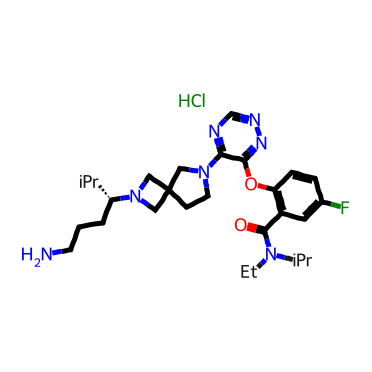 CCN(C(=O)c1cc(F)ccc1Oc1nncnc1N1CCC2(C1)CN([C@H](CCCN)C(C)C)C2)C(C)C.Cl